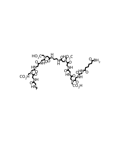 BC(=O)CCCCC(=O)NCC(=O)NCC(=O)N(CC(=O)O)CC(=O)NCC(=O)NCC(=O)N(CC(=O)O)CC(=O)NCCNC(=O)CN(CC(=O)O)C(=O)CNC(=O)CNC(=O)CN(CC(=O)O)C(=O)CNC(=O)CNF